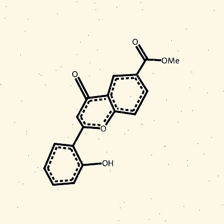 COC(=O)c1ccc2oc(-c3ccccc3O)cc(=O)c2c1